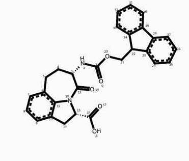 O=C(N[C@H]1CCc2cccc3c2N(C1=O)[C@H](C(=O)O)C3)OCC1c2ccccc2-c2ccccc21